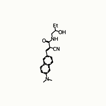 CCC(O)CNC(=O)/C(C#N)=C/c1ccc2cc(N(C)C)ccc2c1